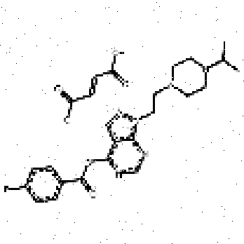 CC(C)N1CCN(CCn2ncc3c(NC(=O)c4ccc(F)cc4)ncnc32)CC1.O=C(O)C=CC(=O)O